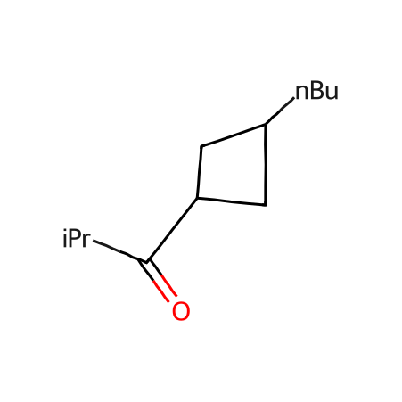 CCCCC1CC(C(=O)C(C)C)C1